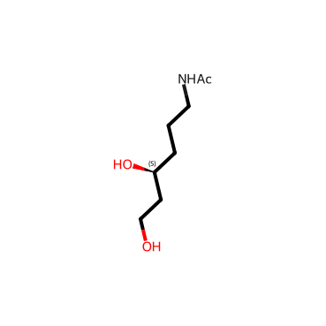 CC(=O)NCCC[C@H](O)CCO